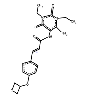 CCn1c(N)c(NC(=O)/C=C/c2ccc(OC3COC3)cc2)c(=O)n(CC)c1=O